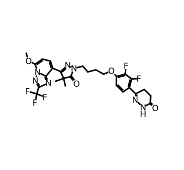 COc1ccc(C2=NN(CCCCOc3ccc(C4=NNC(=O)CC4)c(F)c3F)C(=O)C2(C)C)c2nc(C(F)(F)F)nn12